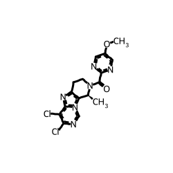 COc1cnc(C(=O)N2CCc3nc4c(Cl)c(Cl)ncn4c3[C@@H]2C)nc1